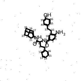 Nc1ccc(C(=O)NC(CCc2ccccc2)C(=O)NC23CC4CC5CC(C2)C54C3)cc1CCc1ccc(O)cc1